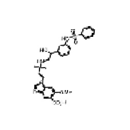 COc1cc2c(cc1C(=O)O)ncn2CCC(C)(C)NC[C@@H](O)c1cccc(NS(=O)(=O)c2ccccc2)c1